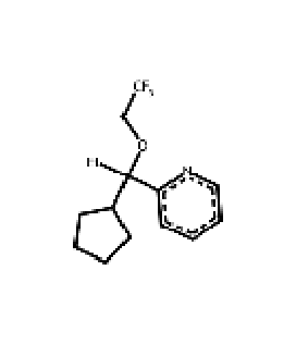 CCC(OCC(F)(F)F)(c1ccccn1)C1CCCC1